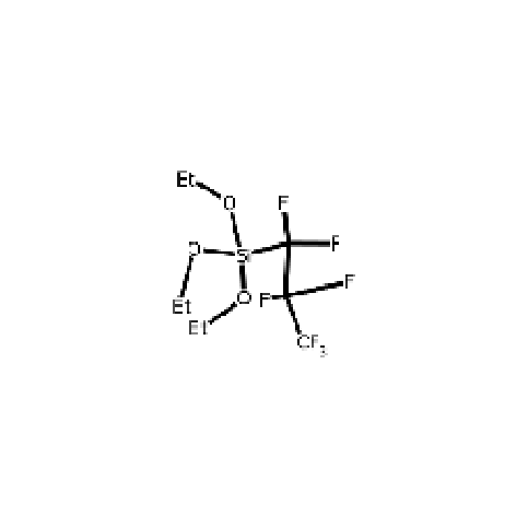 CCO[Si](OCC)(OCC)C(F)(F)C(F)(F)C(F)(F)F